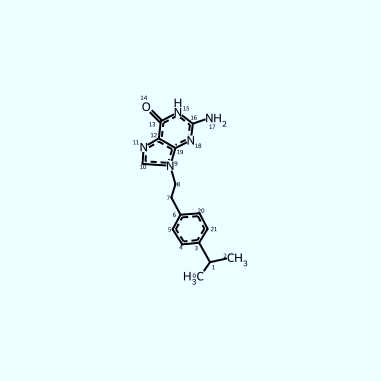 CC(C)c1ccc(CCn2cnc3c(=O)[nH]c(N)nc32)cc1